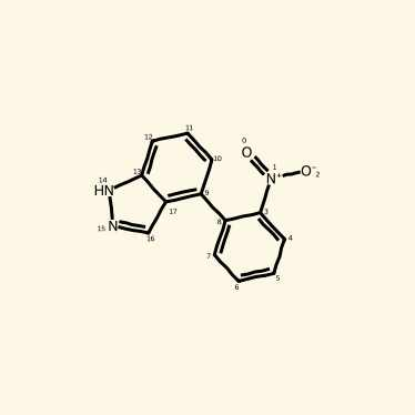 O=[N+]([O-])c1ccccc1-c1cccc2[nH]ncc12